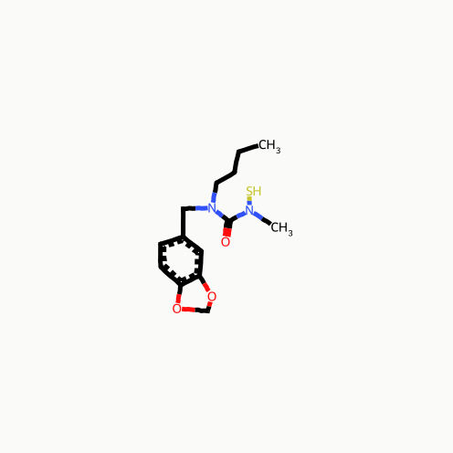 CCCCN(Cc1ccc2c(c1)OCO2)C(=O)N(C)S